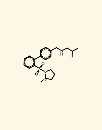 CC(C)CNCc1ccc(-c2ccccc2S(=O)(=O)N2CCC[C@H]2C)cc1